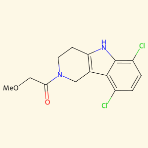 COCC(=O)N1CCc2[nH]c3c(Cl)ccc(Cl)c3c2C1